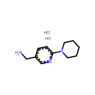 Cl.Cl.NCc1ccc(N2CCCCC2)nc1